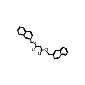 O=C(CC(=O)OCc1ccc2ccccc2c1)OCc1ccc2ccccc2c1